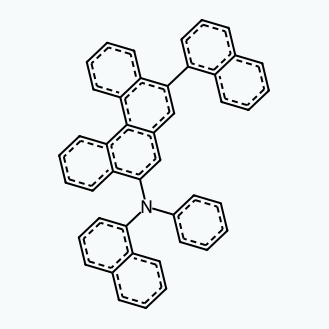 c1ccc(N(c2cccc3ccccc23)c2cc3cc(-c4cccc5ccccc45)c4ccccc4c3c3ccccc23)cc1